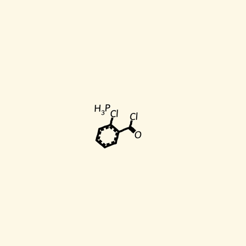 O=C(Cl)c1ccccc1Cl.P